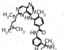 Cc1ccc(C(=O)Nc2cccc(C(C)(C)N)c2)cc1Nc1ncnc2cnc(N(C)CCN(C)C)nc12